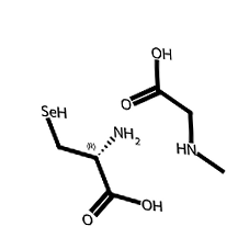 CNCC(=O)O.N[C@@H](C[SeH])C(=O)O